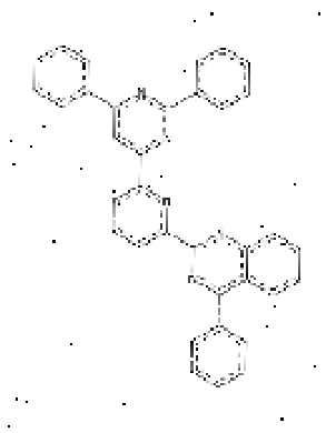 c1ccc(-c2cc(-c3cccc(-c4nc(-c5ccccc5)c5ccccc5n4)n3)nc(-c3ccccc3)n2)cc1